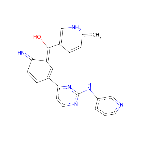 C=C\C=C/C(=C\N)C(/O)=C1\C=C(c2ccnc(Nc3cccnc3)n2)C=CC1=N